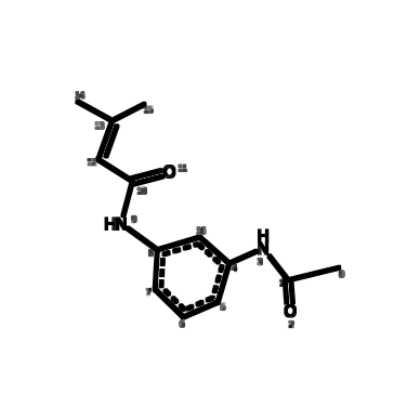 CC(=O)Nc1cccc(NC(=O)C=C(C)C)c1